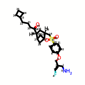 NC/C(=C\F)COc1ccc(S(=O)(=O)C[C@H]2C[C@@H](C(=O)CCCC3CCC3)C3CC2C3)cc1